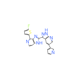 Fc1ccc(-c2nccc3[nH]c(-c4n[nH]c5ncc(-c6cccnc6)cc45)nc23)s1